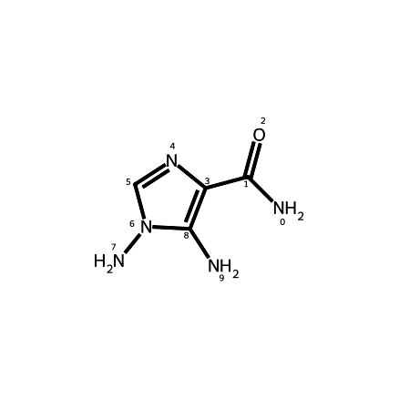 NC(=O)c1ncn(N)c1N